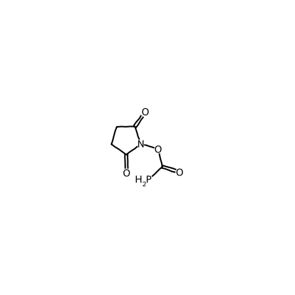 O=C(P)ON1C(=O)CCC1=O